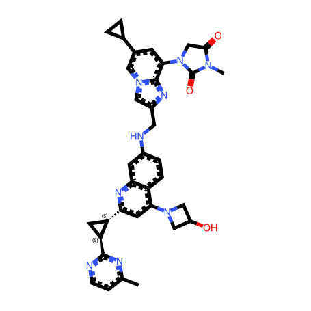 Cc1ccnc([C@H]2C[C@@H]2c2cc(N3CC(O)C3)c3ccc(NCc4cn5cc(C6CC6)cc(N6CC(=O)N(C)C6=O)c5n4)cc3n2)n1